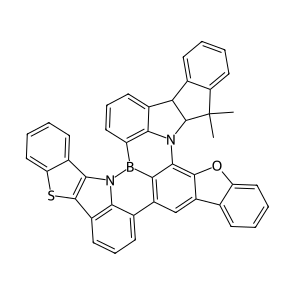 CC1(C)c2ccccc2C2c3cccc4c3N(c3c5c(cc6c3oc3ccccc36)-c3cccc6c7sc8ccccc8c7n(c36)B45)C21